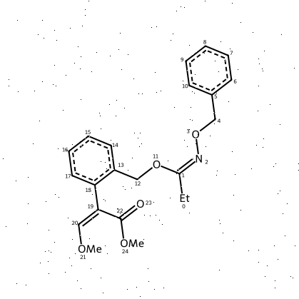 CCC(=NOCc1ccccc1)OCc1ccccc1C(=COC)C(=O)OC